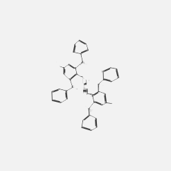 Cc1cc([C@H](C)c2ccccc2)c(N=C=Nc2c([C@H](C)c3ccccc3)cc(C)cc2[C@H](C)c2ccccc2)c([C@H](C)c2ccccc2)c1